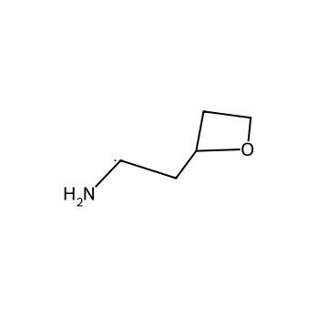 N[CH]CC1CCO1